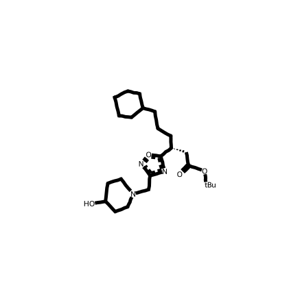 CC(C)(C)OC(=O)C[C@@H](CCCC1CCCCC1)c1nc(CN2CCC(O)CC2)no1